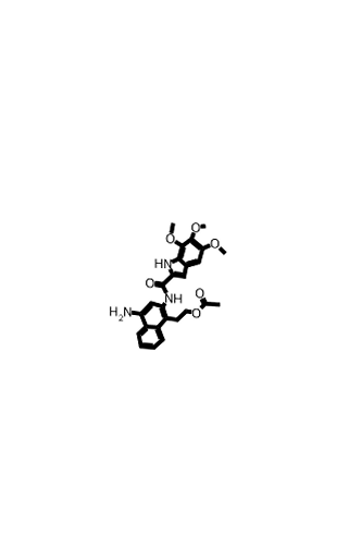 COc1cc2cc(C(=O)Nc3cc(N)c4ccccc4c3CCOC(C)=O)[nH]c2c(OC)c1OC